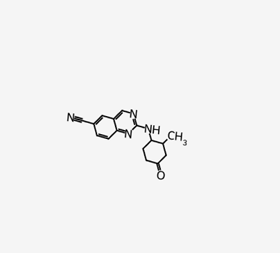 CC1CC(=O)CCC1Nc1ncc2cc(C#N)ccc2n1